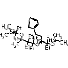 CCC(CC)(O[SiH](C)C(CC)(CC)C(CC)(CC)O[SiH](CCc1ccccc1)C(CC)(CC)O[SiH](C)C)[SiH](C)C